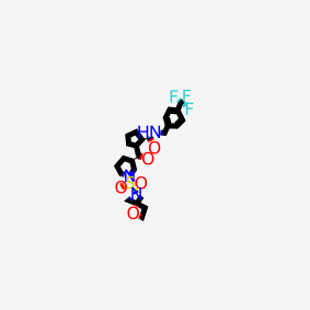 O=C(C1CCC[C@@H]1C(=O)NCc1ccc(C(F)(F)F)cc1)[C@H]1CCCN(S(=O)(=O)N2CC3(CCO3)C2)C1